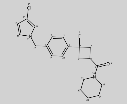 O=C(C1CC(F)(c2ccc(Cn3ccc(Cl)c3)cc2)C1)N1CCCCC1